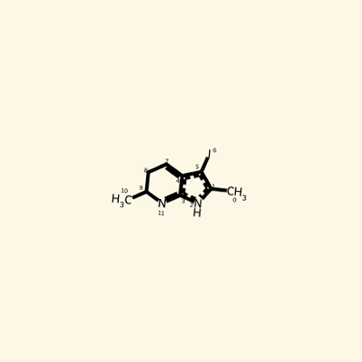 Cc1[nH]c2c(c1I)=CCC(C)N=2